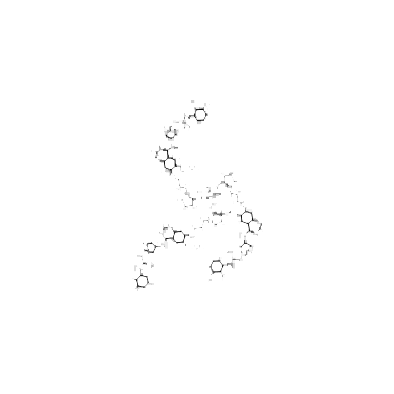 COc1cc2c(Nc3cnn(CC(=O)Nc4cccc(F)c4F)c3)ncnc2cc1OCCCN1CCC[C@H]1COP(=O)(OC[C@@H]1CCCN1CCCOc1cc2ncnc(Nc3cnn(CC(=O)Nc4cccc(F)c4F)c3)c2cc1OC)OC[C@@H]1CCCN1CCCOc1cc2ncnc(Nc3cnn(CC(=O)Nc4cccc(F)c4F)c3)c2cc1OC